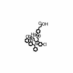 O=C(O)CCc1ccc(S(=O)(=O)CCc2c(CCNS(=O)(=O)c3ccccc3Cl)n(C(c3ccccc3)c3ccccc3)c3ccc(Cl)cc23)cc1